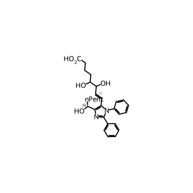 CCCCC[C@H](O)c1nc(-c2ccccc2)n(-c2ccccc2)c1/C=C/C(O)C(O)CCCC(=O)O